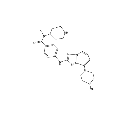 CN(C(=O)c1ccc(Nc2nc3c(N4CCC(O)CC4)cccn3n2)cc1)C1CCNCC1